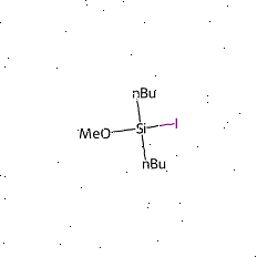 CCCC[Si](I)(CCCC)OC